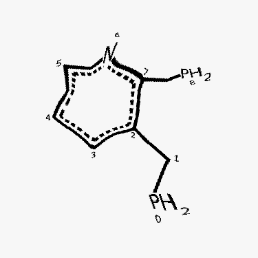 PCc1cccnc1P